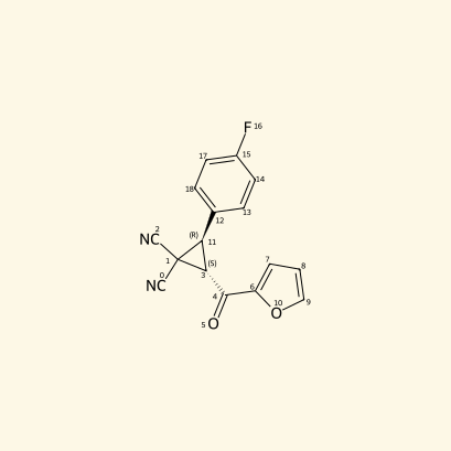 N#CC1(C#N)[C@@H](C(=O)c2ccco2)[C@@H]1c1ccc(F)cc1